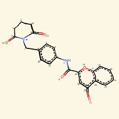 O=C(Nc1ccc(CN2C(=O)CCCC2=O)cc1)c1cc(=O)c2ccccc2o1